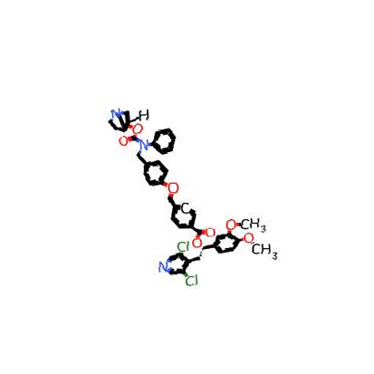 COc1ccc([C@H](Cc2c(Cl)cncc2Cl)OC(=O)c2ccc(COc3ccc(CN(C(=O)O[C@H]4CN5CCC4CC5)c4ccccc4)cc3)cc2)cc1OC